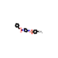 Cc1ccc(S(=O)(=O)ON=C2CC3CC2CN3C(=O)OCc2ccccc2)cc1